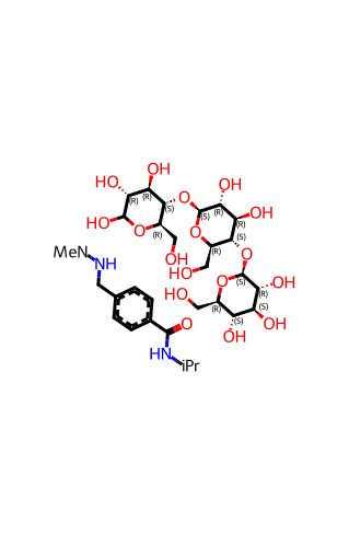 CNNCc1ccc(C(=O)NC(C)C)cc1.OC[C@H]1O[C@@H](O[C@H]2[C@H](O)[C@@H](O)[C@H](O[C@H]3[C@H](O)[C@@H](O)C(O)O[C@@H]3CO)O[C@@H]2CO)[C@H](O)[C@@H](O)[C@@H]1O